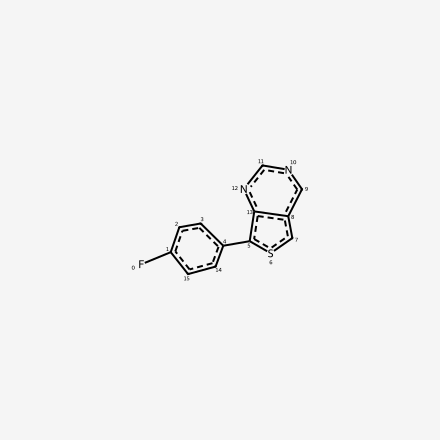 Fc1ccc(-c2scc3cncnc23)cc1